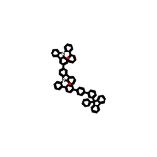 c1ccc(-c2ccccc2-n2c3ccccc3c3cc(-c4ccc5c(c4)c4ccccc4n5-c4ccccc4-c4ccc(-c5ccc(-c6cccc(C7(c8ccccc8)c8ccccc8-c8ccccc87)c6)cc5)cc4)ccc32)cc1